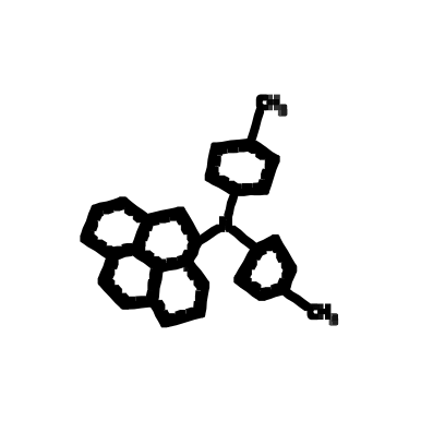 Cc1ccc(N(c2ccc(C)cc2)c2cc3cccc4ccc5cccc2c5c43)cc1